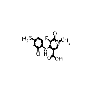 Bc1ccc(Nc2c(C(=O)O)cn(C)c(=O)c2F)c(Cl)c1